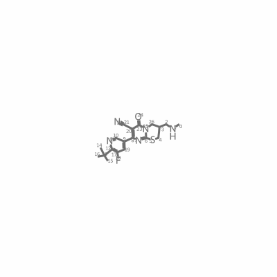 CNCC1CSc2nc(-c3cnc(C(C)(C)C)c(F)c3)c(C#N)c(=O)n2C1